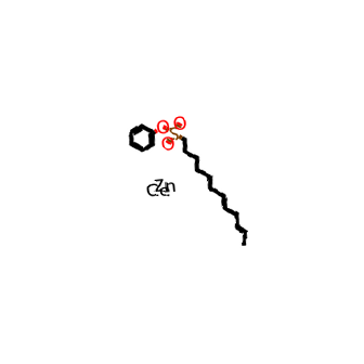 CCCCCCCCCCCCS(=O)(=O)Oc1ccccc1.[Ce].[Zn]